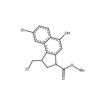 CCc1ccc2c(O)cc3c(c2c1)C(CCl)CN3C(=O)OC(C)(C)C